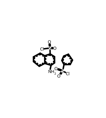 Nc1ccc(S(=O)(=O)Cl)c2ccccc12.O=S(=O)(Cl)c1ccccc1